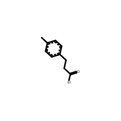 CCC(=O)CCc1ccc(C)cc1